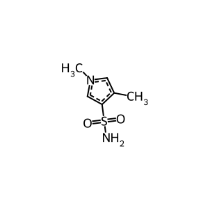 Cc1cn(C)cc1S(N)(=O)=O